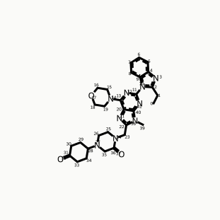 CCc1nc2ccccc2n1-c1nc(N2CCOCC2)c2nc(CN3CCN(C4CCC(=O)CC4)CC3=O)n(C)c2n1